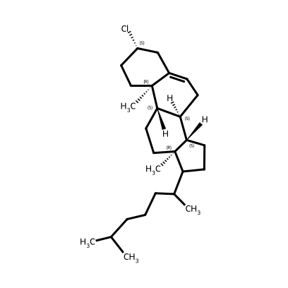 CC(C)CCCC(C)C1CC[C@H]2[C@@H]3CC=C4C[C@@H](Cl)CC[C@]4(C)[C@H]3CC[C@]12C